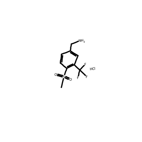 CS(=O)(=O)c1ccc(CN)cc1C(F)(F)F.Cl